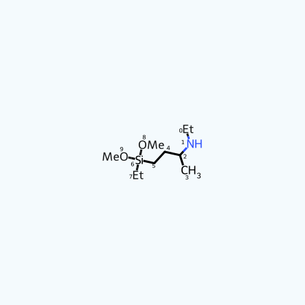 CCNC(C)CC[Si](CC)(OC)OC